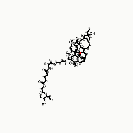 C=C(/C=C1\C(=C/COC)N(C)C2[C@]13CCN1CC=C[C@](CC)(C13)[C@@H](O)[C@]2(O)C(=O)NCCCOC(=O)[C@@H](C)NC(=O)CCCC(=O)OCC(OC)OC(CC)COC)[C@@]1(C(=O)OC)C[C@@H]2C[N@](CCc3c1[nH]c1ccccc31)CC(O)(CC)C2